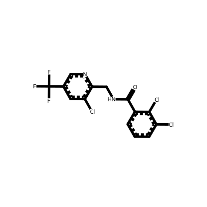 O=C(NCc1ncc(C(F)(F)F)cc1Cl)c1cccc(Cl)c1Cl